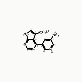 CCOC(=O)c1c[nH]c2ncnc(-c3cncc(N)c3)c12